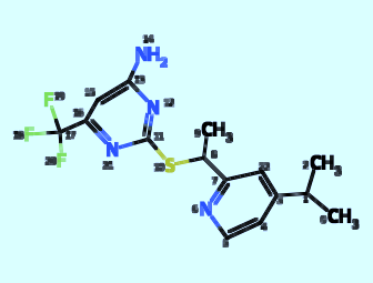 CC(C)c1ccnc(C(C)Sc2nc(N)cc(C(F)(F)F)n2)c1